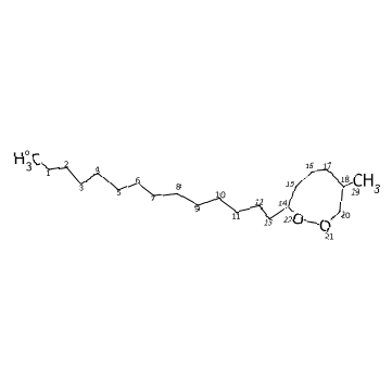 CCCCCCCCCCCCCCC1CCCC(C)COO1